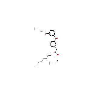 CCOC(=O)c1cccc(C(=O)c2cccc(CC(OCCCCCCBr)C(=O)OCC)c2)c1